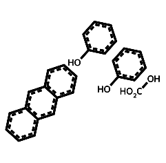 O=C(O)O.Oc1ccccc1.Oc1ccccc1.c1ccc2cc3ccccc3cc2c1